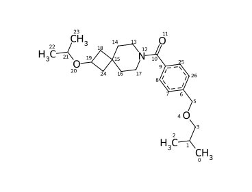 CC(C)COCc1ccc(C(=O)N2CCC3(CC2)CC(OC(C)C)C3)cc1